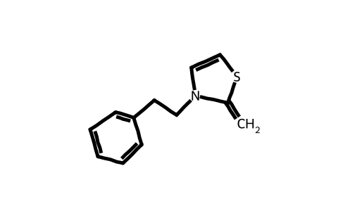 C=C1SC=CN1CCc1ccccc1